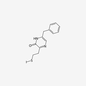 O=c1[nH]c(Cc2ccccc2)cnc1CCSI